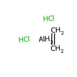 C=C.Cl.Cl.[AlH3]